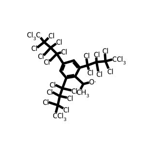 CC([O])c1c(C(Cl)(Cl)C(Cl)(Cl)C(Cl)(Cl)C(Cl)(Cl)Cl)cc(C(Cl)(Cl)C(Cl)(Cl)C(Cl)(Cl)C(Cl)(Cl)Cl)cc1C(Cl)(Cl)C(Cl)(Cl)C(Cl)(Cl)C(Cl)(Cl)Cl